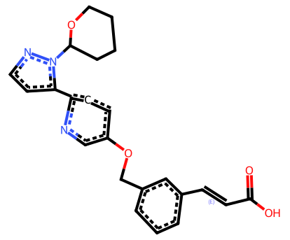 O=C(O)/C=C/c1cccc(COc2ccc(-c3ccnn3C3CCCCO3)nc2)c1